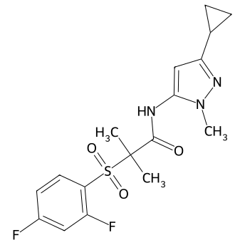 Cn1nc(C2CC2)cc1NC(=O)C(C)(C)S(=O)(=O)c1ccc(F)cc1F